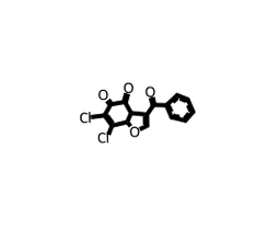 O=C1C(=O)C2C(C(=O)c3ccccc3)=COC2C(Cl)=C1Cl